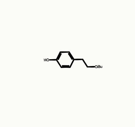 CC(C)COCCc1ccc(O)cc1